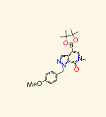 COc1ccc(Cn2ncc3c(B4OC(C)(C)C(C)(C)O4)cn(C)c(=O)c32)cc1